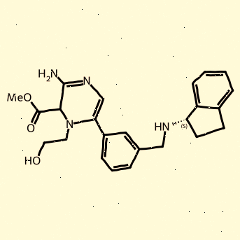 COC(=O)C1C(N)=NC=C(c2cccc(CN[C@H]3CCc4ccccc43)c2)N1CCO